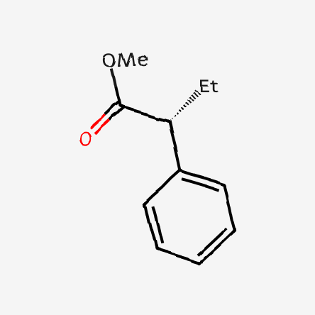 CC[C@@H](C(=O)OC)c1ccccc1